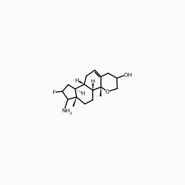 C[C@]12OCC(O)CC1=CC[C@@H]1[C@H]2CC[C@]2(C)C(N)C(F)C[C@@H]12